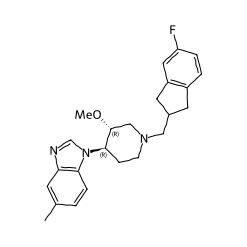 CO[C@@H]1CN(CC2Cc3ccc(F)cc3C2)CC[C@H]1n1cnc2cc(C)ccc21